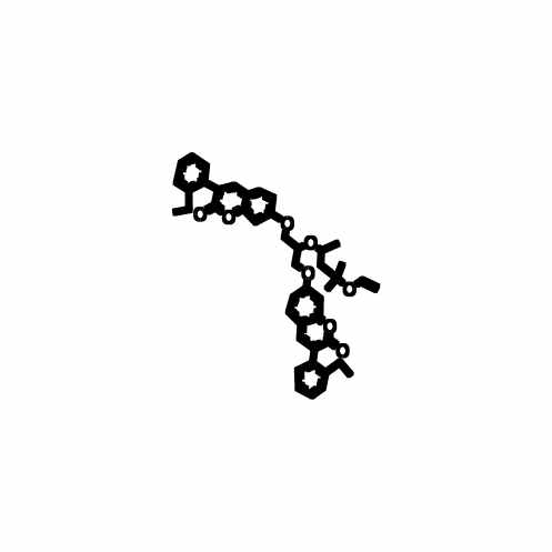 C=COC(C)(C)CC(C)OC(COc1ccc2cc(-c3ccccc3CC)c(=O)oc2c1)COc1ccc2cc(-c3ccccc3CC)c(=O)oc2c1